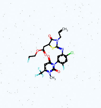 C=CCN1C(=O)C(CC(=O)OCCF)S/C1=N\c1cc(-n2c(=O)cc(C(F)(F)F)n(C)c2=O)c(F)cc1Cl